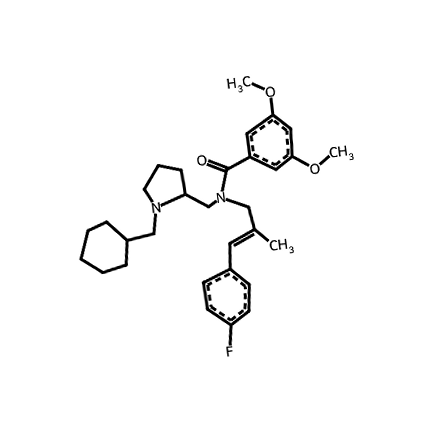 COc1cc(OC)cc(C(=O)N(CC(C)=Cc2ccc(F)cc2)CC2CCCN2CC2CCCCC2)c1